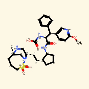 COc1ccc([C@H](c2ccccc2)[C@H](NC(=O)O)C(=O)N[C@H]2CCC[C@@H]2CC[C@H]2CN[C@@H]3CCCS(=O)(=O)N2C3)cn1